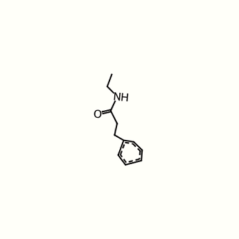 CCNC(=O)CCc1ccccc1